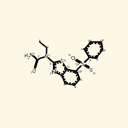 CCN(C(N)=O)c1nc2cccc(S(=O)(=O)c3ccccc3)c2s1